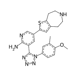 COc1ccc(-n2nnnc2-c2cc(-c3cc4c(s3)CCNCC4)cnc2N)cc1C